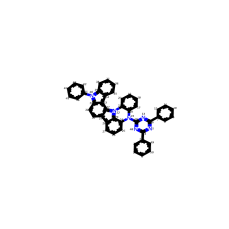 c1ccc(-c2nc(-c3ccccc3)nc(N3c4ccccc4-n4c5c3cccc5c3ccc5c(c6ccccc6n5-c5ccccc5)c34)n2)cc1